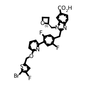 O=C(O)c1ccc2nc(Cc3cc(F)c(-c4cccc(OCc5cc(F)c(Br)s5)n4)cc3F)n(C[C@@H]3CCO3)c2c1